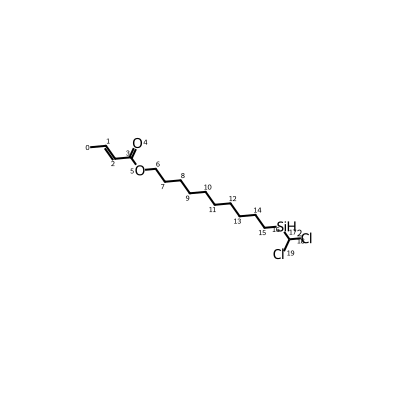 CC=CC(=O)OCCCCCCCCCC[SiH2]C(Cl)Cl